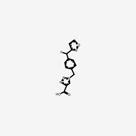 O=C(O)c1cn(Cc2ccc(C(F)c3ccon3)cc2)nn1